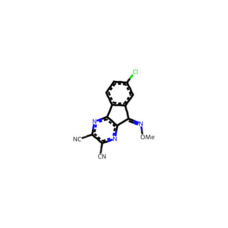 CON=C1c2cc(Cl)ccc2-c2nc(C#N)c(C#N)nc21